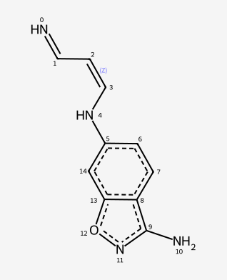 N=C/C=C\Nc1ccc2c(N)noc2c1